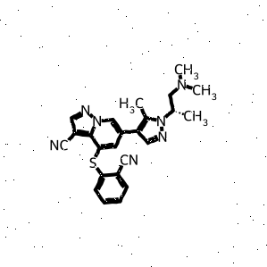 Cc1c(-c2cc(Sc3ccccc3C#N)c3c(C#N)cnn3c2)cnn1[C@@H](C)CN(C)C